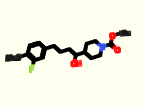 CSc1ccc(CCCC(O)C2CCN(C(=O)OC(C)(C)C)CC2)cc1F